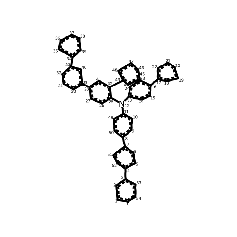 c1ccc(-c2ccc(-c3ccc(N(c4ccc(-c5ccccc5)cc4)c4ccc(-c5cccc(-c6ccccc6)c5)cc4-c4ccccc4)cc3)cc2)cc1